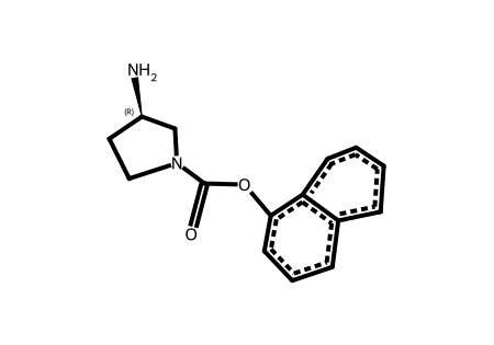 N[C@@H]1CCN(C(=O)Oc2cccc3ccccc23)C1